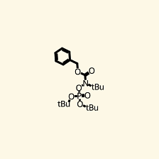 CC(C)(C)OP(=O)(ON(C(=O)OCc1ccccc1)C(C)(C)C)OC(C)(C)C